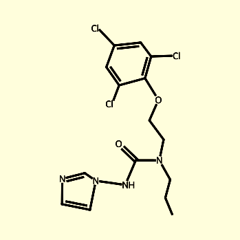 CCCN(CCOc1c(Cl)cc(Cl)cc1Cl)C(=O)Nn1ccnc1